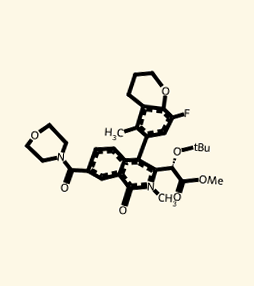 COC(=O)[C@@H](OC(C)(C)C)c1c(-c2cc(F)c3c(c2C)CCCO3)c2ccc(C(=O)N3CCOCC3)cc2c(=O)n1C